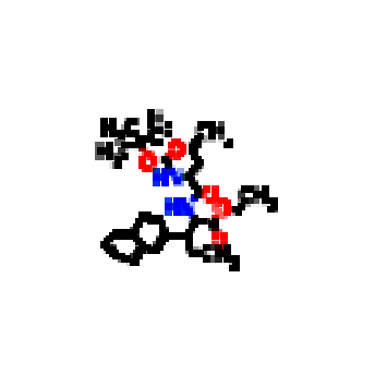 C=CCC(NC(=O)OC(C)(C)C)C(=O)NC(C(=O)OCC)C(C=C)c1ccc2ccccc2c1